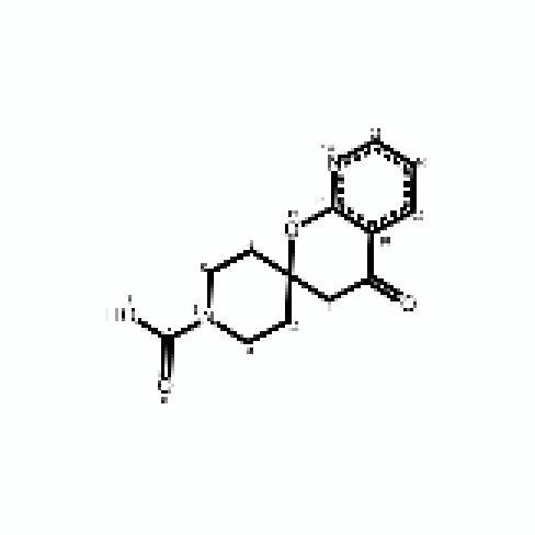 O=C1CC2(CCN(C(=O)O)CC2)Oc2ncccc21